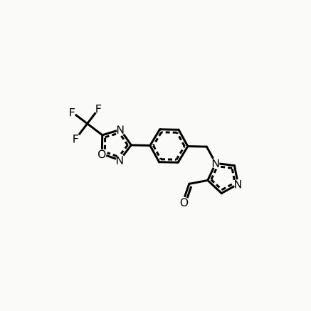 O=Cc1cncn1Cc1ccc(-c2noc(C(F)(F)F)n2)cc1